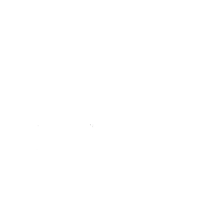 CC1(C)c2ccccc2-c2ccc(N(C3=CC=C(C4=CC=CCC4)CC3)C3C=CC(c4ccc5ccccc5c4-c4ccc(-c5ccc(-c6ccccc6)cc5)cc4)=CC3)cc21